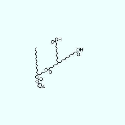 CCCCCCCCCCCCC(CCCOC(=O)CCCCC(CCCCCCCCC(=O)O)CCCCCCCCC(=O)O)OC(=O)O[C@@H]1CCN(C)C1